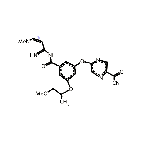 CN/C=C\C(=N)NC(=O)c1cc(Oc2cnc(C(=O)C#N)cn2)cc(O[C@@H](C)COC)c1